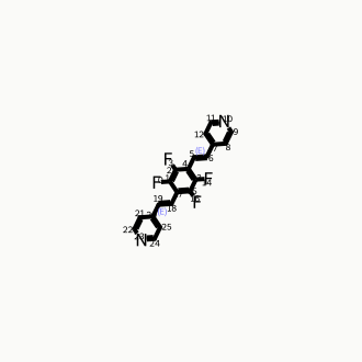 Fc1c(F)c(/C=C/c2ccncc2)c(F)c(F)c1/C=C/c1ccncc1